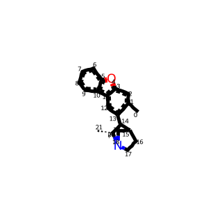 Cc1cc2oc3ccccc3c2cc1C1C2CCN(C2)[C@@H]1C